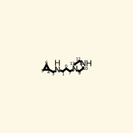 C(CNCC1CC1)CN1CCNCC1